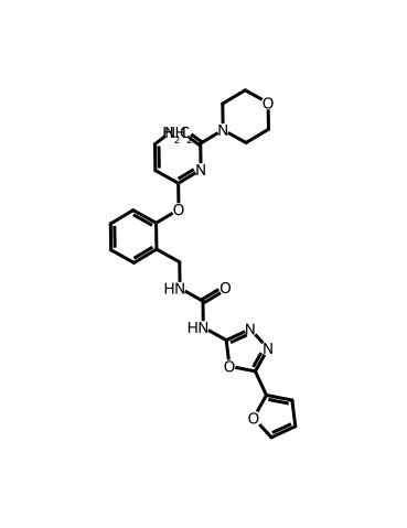 C=C(/N=C(\C=C/N)Oc1ccccc1CNC(=O)Nc1nnc(-c2ccco2)o1)N1CCOCC1